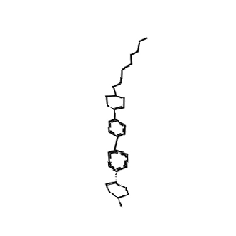 CCCCCCCCC1CC=C(c2ccc(-c3ccc([C@H]4CC[C@H](C)CC4)cc3)cc2)CC1